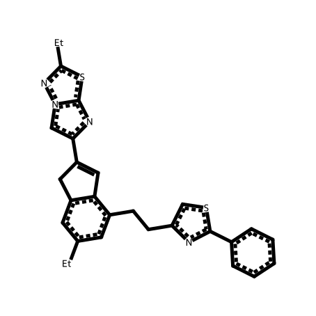 CCc1cc(CCc2csc(-c3ccccc3)n2)c2c(c1)CC(c1cn3nc(CC)sc3n1)=C2